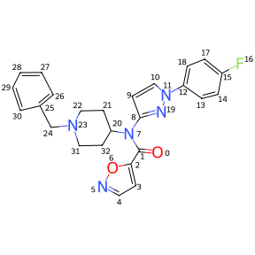 O=C(c1ccno1)N(c1ccn(-c2ccc(F)cc2)n1)C1CCN(Cc2ccccc2)CC1